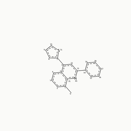 Cc1cccc2c(-c3cccs3)cc(-c3ccccc3)nc12